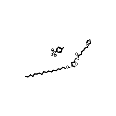 CCCCCCCCCCCCCCCCCCOC[C@H]1CO[C@H](COC(=O)CCCCC[n+]2ccsc2)C1.Cc1ccc(S(=O)(=O)[O-])cc1